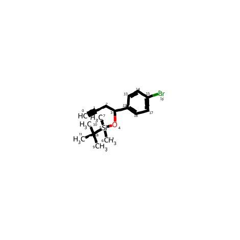 C#CCC(O[Si](C)(C)C(C)(C)C)c1ccc(Br)cc1